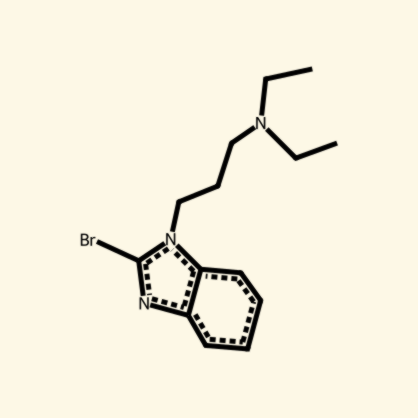 CCN(CC)CCCn1c(Br)nc2ccccc21